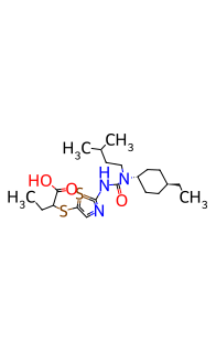 CCC(Sc1cnc(NC(=O)N(CCC(C)C)[C@H]2CC[C@H](CC)CC2)s1)C(=O)O